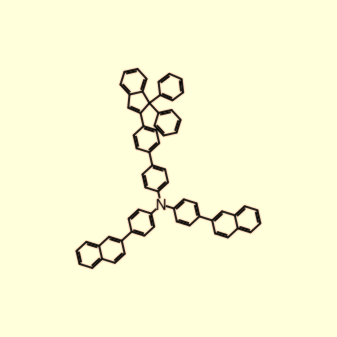 C1=C(c2ccc(-c3ccc(N(c4ccc(-c5ccc6ccccc6c5)cc4)c4ccc(-c5ccc6ccccc6c5)cc4)cc3)cc2)C(c2ccccc2)(c2ccccc2)c2ccccc21